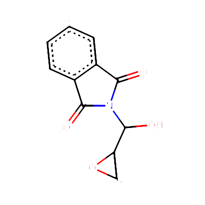 O=C1c2ccccc2C(=O)N1C(O)C1CO1